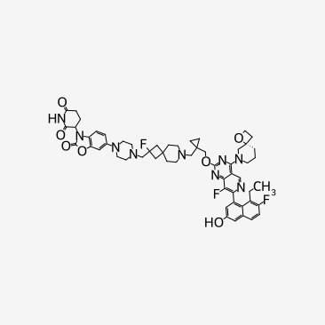 CCc1c(F)ccc2cc(O)cc(-c3ncc4c(N5CCC[C@]6(CCO6)C5)nc(OCC5(CN6CCC7(CC6)CC(F)(CN6CCN(c8ccc9c(c8)oc(=O)n9C8CCC(=O)NC8=O)CC6)C7)CC5)nc4c3F)c12